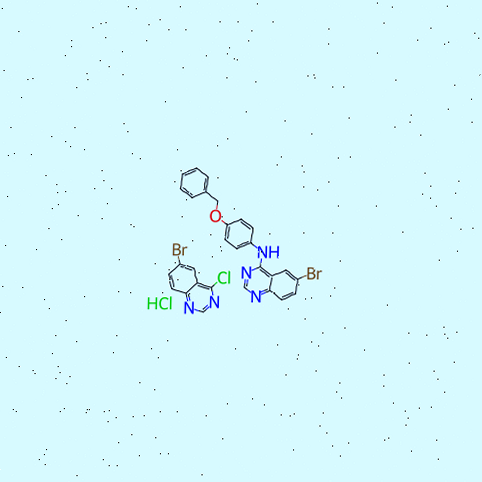 Brc1ccc2ncnc(Nc3ccc(OCc4ccccc4)cc3)c2c1.Cl.Clc1ncnc2ccc(Br)cc12